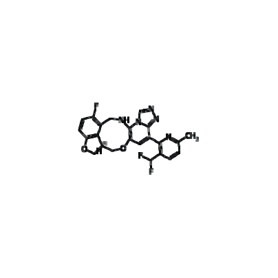 Cc1ccc(C(F)F)c(-c2cc3c(n4cnnc24)NCc2c(F)ccc4c2[C@H](CO4)CO3)n1